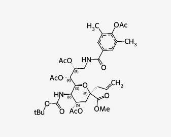 C=CC[C@]1(C(=O)OC)C[C@H](OC(C)=O)[C@@H](NC(=O)OC(C)(C)C)[C@@H]([C@H](OC(C)=O)[C@@H](CNC(=O)c2cc(C)c(OC(C)=O)c(C)c2)OC(C)=O)O1